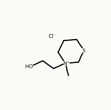 C[N+]1(CCO)CCCSC1.[Cl-]